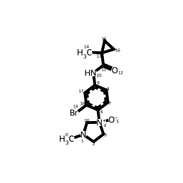 CN1CC[N+]([O-])(c2ccc(NC(=O)C3(C)CC3)cc2Br)C1